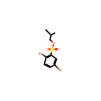 CC(C)COS(=O)(=O)c1cc(Br)ccc1Br